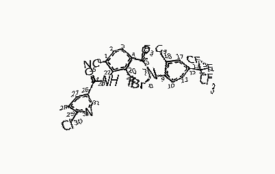 N#Cc1ccc(C(=O)N(Br)c2ccc(C(F)(C(F)(F)F)C(F)(F)F)cc2C(F)(F)F)c(F)c1NC(=O)c1ccc(Cl)nc1